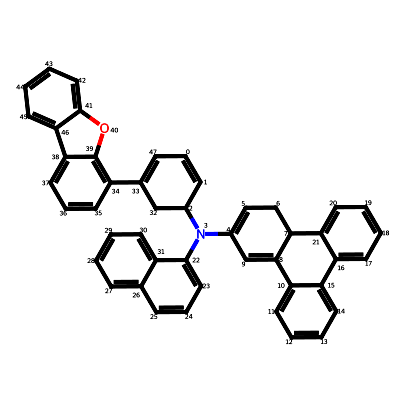 C1=CC(N(C2=CCC3C(=C2)c2ccccc2-c2ccccc23)c2cccc3ccccc23)CC(c2cccc3c2oc2ccccc23)=C1